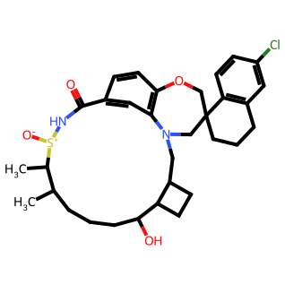 CC1CCCC(O)C2CCC2CN2CC3(CCCc4cc(Cl)ccc43)COc3ccc(cc32)C(=O)N[S+]([O-])C1C